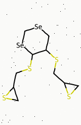 C1[Se]CC(SCC2CS2)C(SCC2CS2)[Se]1